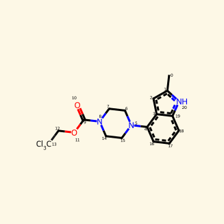 Cc1cc2c(N3CCN(C(=O)OCC(Cl)(Cl)Cl)CC3)cccc2[nH]1